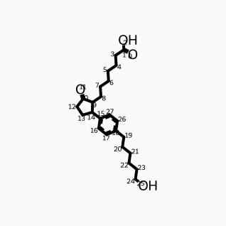 O=C(O)CCCCCCC1C(=O)CCC1c1ccc(CCCCCCO)cc1